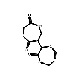 O=C1[CH]SC(=O)N(C2SC=NCNC2=O)CN1